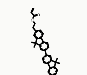 C=CC(=O)OCCc1ccc2c(c1)C(C)(C)c1cc(-c3ccc4c(c3)C(C)(C)c3ccccc3-4)ccc1-2